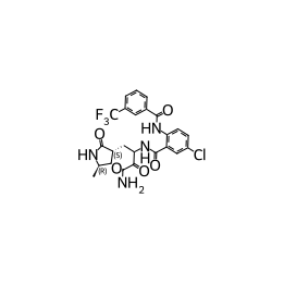 C[C@@H]1C[C@@H](CC(NC(=O)c2cc(Cl)ccc2NC(=O)c2cccc(C(F)(F)F)c2)C(=O)C(N)=O)C(=O)N1